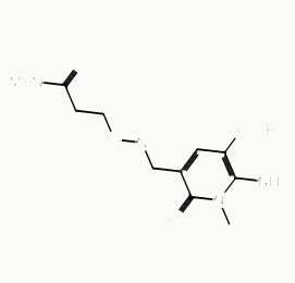 CNC(=O)CCONCc1cc(C(=O)O)c(N)n(C)c1=O